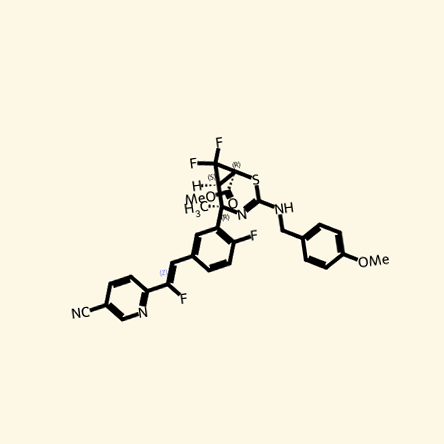 COC(=O)[C@]12SC(NCc3ccc(OC)cc3)=N[C@@](C)(c3cc(/C=C(\F)c4ccc(C#N)cn4)ccc3F)[C@H]1C2(F)F